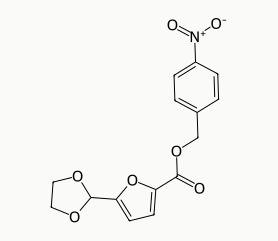 O=C(OCc1ccc([N+](=O)[O-])cc1)c1ccc(C2OCCO2)o1